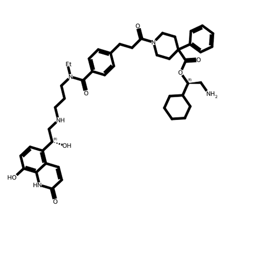 CCN(CCCNC[C@H](O)c1ccc(O)c2[nH]c(=O)ccc12)C(=O)c1ccc(CCC(=O)N2CCC(C(=O)O[C@@H](CN)C3CCCCC3)(c3ccccc3)CC2)cc1